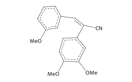 COc1cccc(C=C(C#N)c2ccc(OC)c(OC)c2)c1